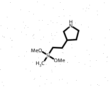 CO[Si](C)(CCC1CCNC1)OC